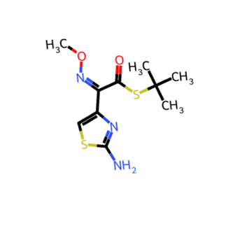 CON=C(C(=O)SC(C)(C)C)c1csc(N)n1